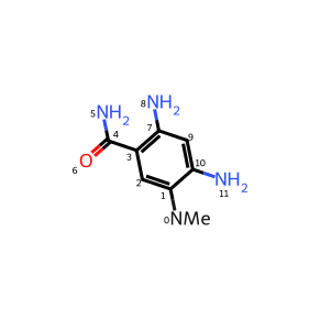 CNc1cc(C(N)=O)c(N)cc1N